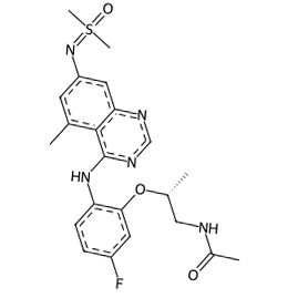 CC(=O)NC[C@@H](C)Oc1cc(F)ccc1Nc1ncnc2cc(N=S(C)(C)=O)cc(C)c12